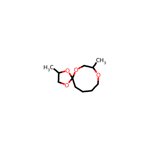 CC1COC2(CCCCO1)OCC(C)O2